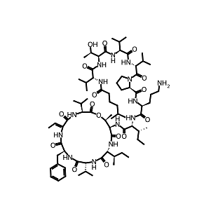 C/C=C1\NC(=O)[C@H](Cc2ccccc2)NC(=O)[C@@H](C(C)C)NC(=O)[C@@H]([C@H](C)CC)NC(=O)[C@H](NC(=O)[C@H](NC(=O)[C@H](CCCN)NC(=O)[C@H]2CCCN2C(=O)[C@H](NC(=O)[C@@H](NC(=O)[C@@H](NC(=O)[C@H](NC(=O)CCCC(C)C)C(C)C)[C@@H](C)O)C(C)C)C(C)C)[C@H](C)CC)[C@H](C)OC(=O)[C@H](C(C)C)NC1=O